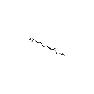 NCCCCCOCN